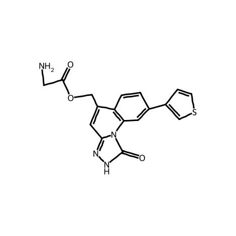 NCC(=O)OCc1cc2n[nH]c(=O)n2c2cc(-c3ccsc3)ccc12